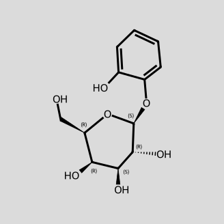 OC[C@H]1O[C@@H](Oc2ccccc2O)[C@H](O)[C@@H](O)[C@H]1O